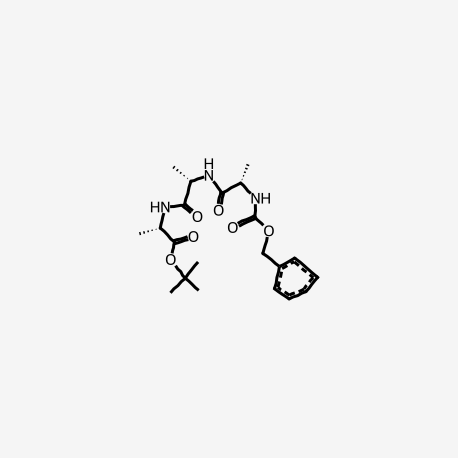 C[C@H](NC(=O)OCc1ccccc1)C(=O)N[C@@H](C)C(=O)N[C@@H](C)C(=O)OC(C)(C)C